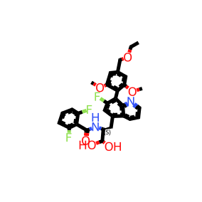 CCOCc1cc(OC)c(-c2c(F)cc(C[C@H](NC(=O)c3c(F)cccc3F)C(O)O)c3cccnc23)c(OC)c1